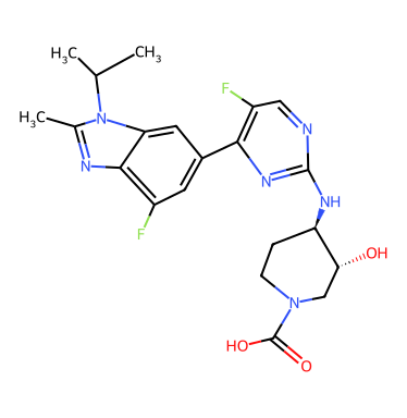 Cc1nc2c(F)cc(-c3nc(N[C@@H]4CCN(C(=O)O)C[C@H]4O)ncc3F)cc2n1C(C)C